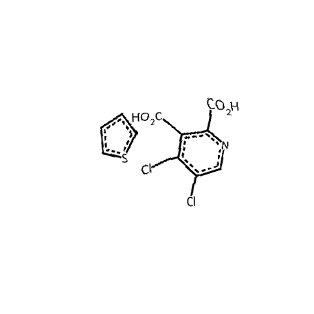 O=C(O)c1ncc(Cl)c(Cl)c1C(=O)O.c1ccsc1